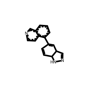 C1=CC2NN=CC2C=C1c1cccc2cnccc12